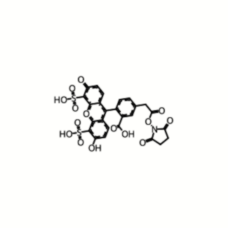 O=C(Cc1ccc(-c2c3ccc(=O)c(S(=O)(=O)O)c-3oc3c(S(=O)(=O)O)c(O)ccc23)c(C(=O)O)c1)ON1C(=O)CCC1=O